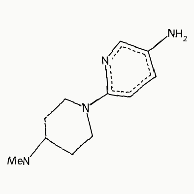 CNC1CCN(c2ccc(N)cn2)CC1